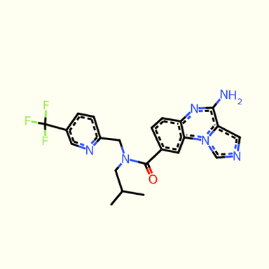 CC(C)CN(Cc1ccc(C(F)(F)F)cn1)C(=O)c1ccc2nc(N)c3cncn3c2c1